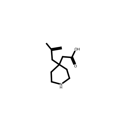 C=C(C)CC1(CC(=O)O)CCNCC1